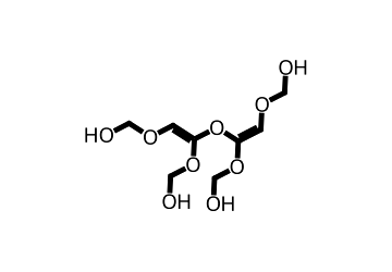 OCOC=C(OCO)OC(=COCO)OCO